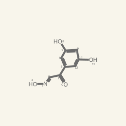 O=C(C=NO)c1cc(O)cc(O)c1